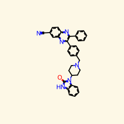 N#Cc1ccc2nc(-c3ccccc3)c(-c3ccc(CN4CCC(n5c(=O)[nH]c6ccccc65)CC4)cc3)nc2c1